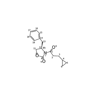 O=C(CCC1CC1)N1C(=O)OC[C@H]1Cc1ccccc1